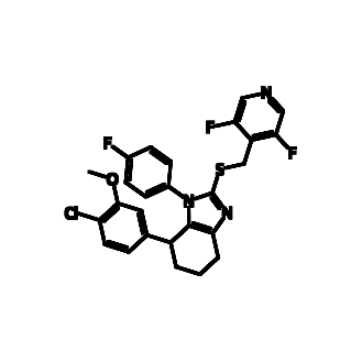 COc1cc(C2CCCc3nc(SCc4c(F)cncc4F)n(-c4ccc(F)cc4)c32)ccc1Cl